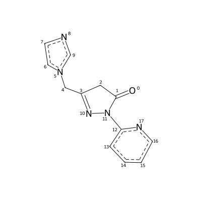 O=C1CC(Cn2ccnc2)=NN1c1ccccn1